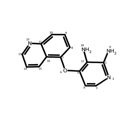 Nc1nccc(Oc2cccc3ncccc23)c1N